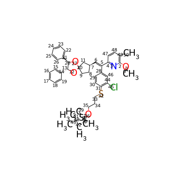 COc1nc(/C(=C/[C@H]2CCC3(C2)O[C@H](c2ccccc2)[C@@H](c2ccccc2)O3)c2ccc(SCCCO[Si](C)(C)C(C)(C)C)c(Cl)c2)ccc1C